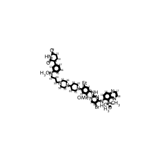 CCc1cc(Nc2ncc(Br)c(Nc3ccc4nccnc4c3P(C)(C)=O)n2)c(OC)cc1N1CCC(N2CCN(CCCN(C)c3cccc(C4CCC(=O)NC4=O)c3)CC2)CC1